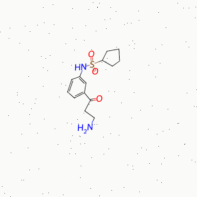 NCCC(=O)c1cccc(NS(=O)(=O)C2CCCC2)c1